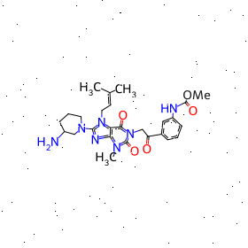 COC(=O)Nc1cccc(C(=O)Cn2c(=O)c3c(nc(N4CCCC(N)C4)n3CC=C(C)C)n(C)c2=O)c1